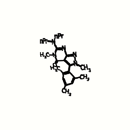 CCCN(CCC)c1nc2nn(C)c(-c3c(C)cc(C)cc3C)c2c(=O)n1C